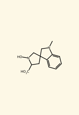 CN1CC2(CC(C(=O)O)N(O)C2)c2ccccc21